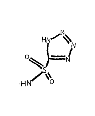 [NH]S(=O)(=O)c1nnn[nH]1